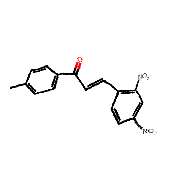 Cc1ccc(C(=O)/C=C/c2ccc([N+](=O)[O-])cc2[N+](=O)[O-])cc1